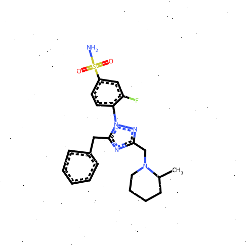 CC1CCCCN1Cc1nc(Cc2ccccc2)n(-c2ccc(S(N)(=O)=O)cc2F)n1